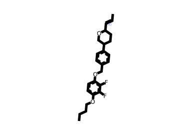 C/C=C/C1CCC(c2ccc(COc3ccc(OCCCC)c(F)c3F)cc2)CO1